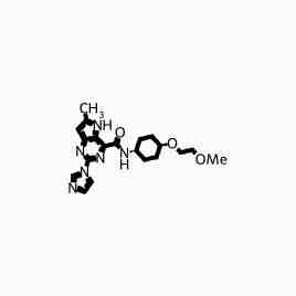 COCCO[C@H]1CC[C@H](NC(=O)c2nc(-n3ccnc3)nc3cc(C)[nH]c23)CC1